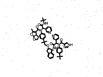 CC1=C(C(=O)N(c2ccc(C(C)(C)CO[C@H]3Cc4ccccc4[C@H]3NC(=O)C(c3cccnc3)N(C(=O)c3c[nH]cn3)c3ccc(C(C)(C)C)cc3)cc2)C(C(=O)NC(C)(C)C)c2cccnc2)C2CCOC2O1